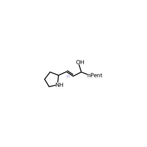 CCCCCC(O)/C=C/C1CCCN1